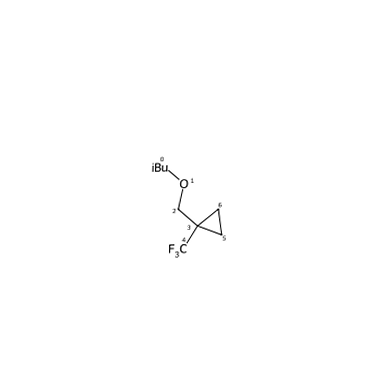 CCC(C)OCC1(C(F)(F)F)CC1